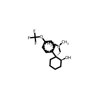 CN(C)C[C@@]1(c2ccc(OC(F)(F)F)cc2)CCCC[C@@H]1O